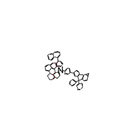 CC1C=C(c2cccc3cccc(C4CCCCC4)c23)C(N(c2ccc(-c3ccc4c(c3)C(c3ccccc3)(c3ccccc3)C3=C4C4C=C4C=C3)cc2)c2ccc(-c3cccc4ccccc34)cc2)=CC1